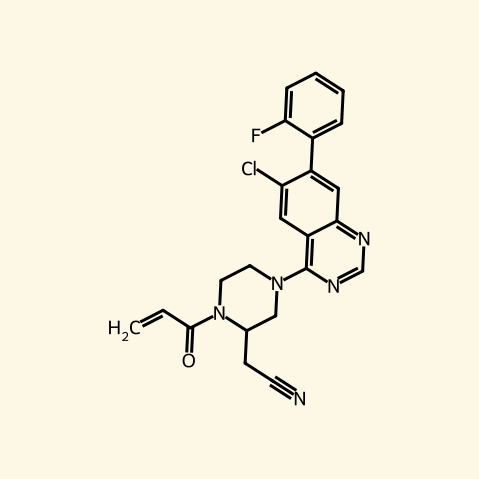 C=CC(=O)N1CCN(c2ncnc3cc(-c4ccccc4F)c(Cl)cc23)CC1CC#N